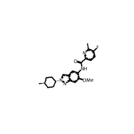 COc1cc2nn([C@H]3CC[C@H](C)CC3)cc2cc1NC(=O)c1ccc(F)c(C)n1